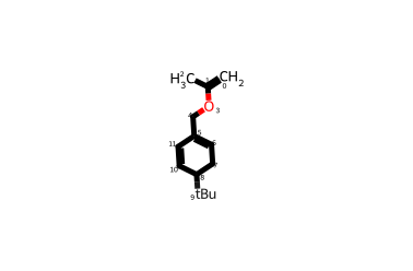 C=C(C)OCC1=CCC(C(C)(C)C)C=C1